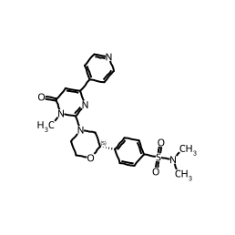 CN(C)S(=O)(=O)c1ccc([C@H]2CN(c3nc(-c4ccncc4)cc(=O)n3C)CCO2)cc1